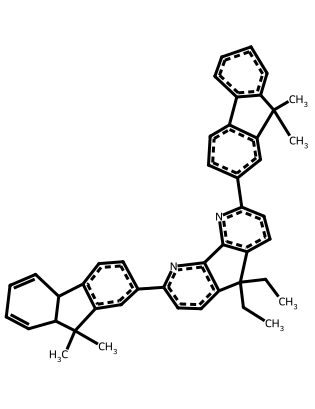 CCC1(CC)c2ccc(-c3ccc4c(c3)C(C)(C)c3ccccc3-4)nc2-c2nc(-c3ccc4c(c3)C(C)(C)C3C=CC=CC43)ccc21